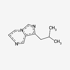 CC(C)Cc1ncn2ccncc12